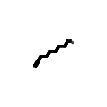 [C]#CCCCCCC[N+](=O)[O-]